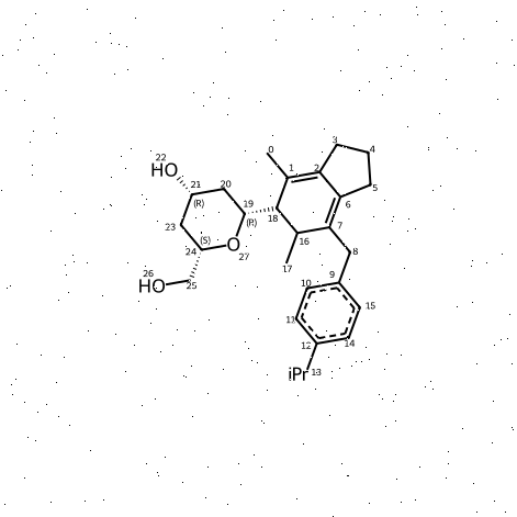 CC1=C2CCCC2=C(Cc2ccc(C(C)C)cc2)C(C)C1[C@H]1C[C@@H](O)C[C@@H](CO)O1